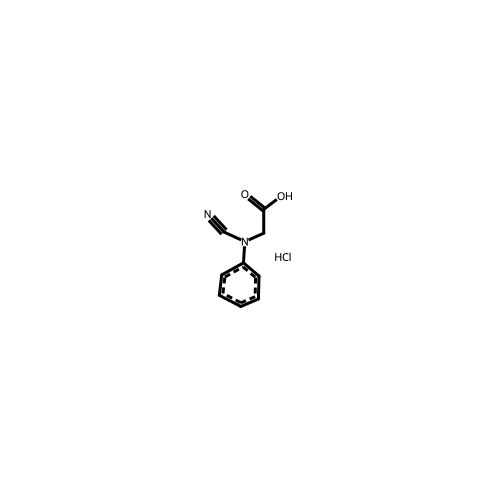 Cl.N#CN(CC(=O)O)c1ccccc1